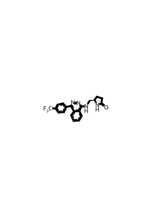 O=C1CC[C@H](CNc2nnc(-c3ccc(C(F)(F)F)cc3)c3ccccc23)N1